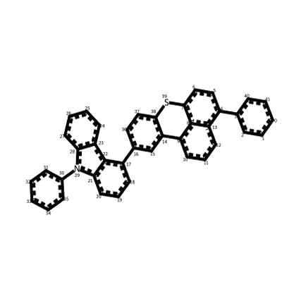 c1ccc(-c2ccc3c4c(cccc24)-c2cc(-c4cccc5c4c4ccccc4n5-c4ccccc4)ccc2S3)cc1